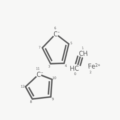 C#C.[Fe+2].c1cc[cH-]c1.c1cc[cH-]c1